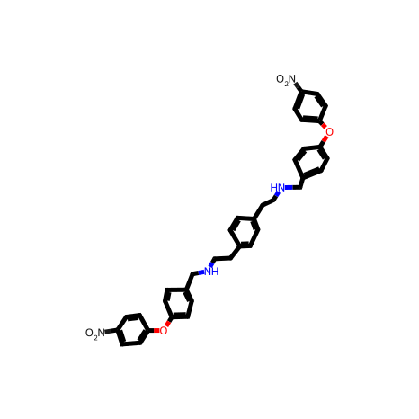 O=[N+]([O-])c1ccc(Oc2ccc(CNCCc3ccc(CCNCc4ccc(Oc5ccc([N+](=O)[O-])cc5)cc4)cc3)cc2)cc1